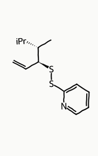 C=C[C@H](SSc1ccccn1)[C@@H](C)C(C)C